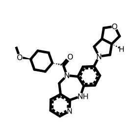 CO[C@H]1CC[C@H](C(=O)N2Cc3cccnc3Nc3ccc(N4CC5COC[C@H]5C4)cc32)CC1